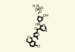 Cc1sc(C(=O)c2cncnc2N[C@@H]2C[C@H](COS(N)(=O)=O)[C@@H](O)C2)cc1[C@H]1OCCc2ccc(Cl)cc21